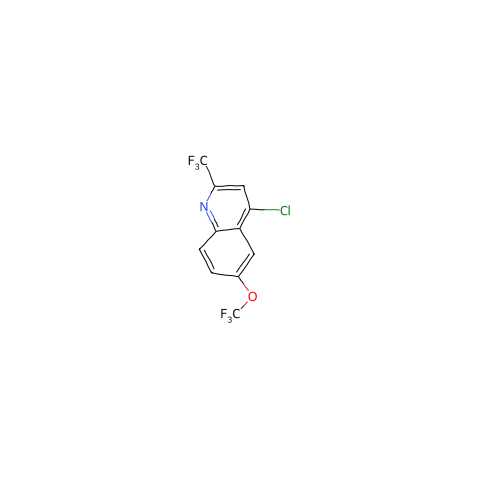 FC(F)(F)Oc1ccc2nc(C(F)(F)F)cc(Cl)c2c1